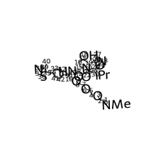 CNCCOCCOCCOCC(NC(=O)[C@@H]1C[C@@H](O)CN1C(=O)[C@@H](c1cc(C)no1)C(C)C)c1ccc(-c2scnc2C)cc1